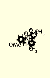 COc1cccc(NC(=O)[C@H]2C(=O)N(C)C[C@@H]2c2ccc(C(F)(F)F)cc2)c1C